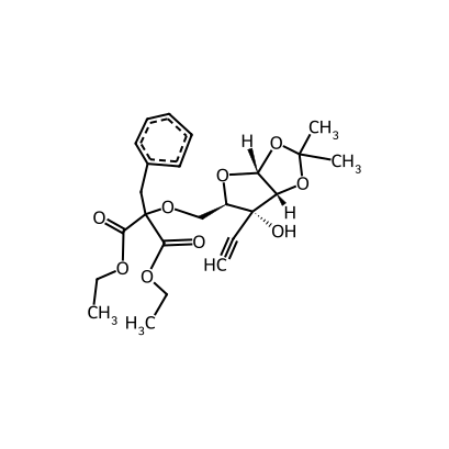 C#C[C@@]1(O)[C@@H](COC(Cc2ccccc2)(C(=O)OCC)C(=O)OCC)O[C@@H]2OC(C)(C)O[C@@H]21